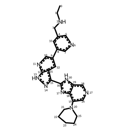 CCNCc1cncc(-c2cnc3[nH]nc(-c4nc5c(N6CCCCC6)cncc5[nH]4)c3c2)c1